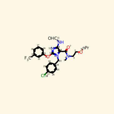 CCCOCCN(C)C(=O)c1c(NC=O)nc(Oc2cccc(C(F)(F)F)c2)n1Cc1ccc(Cl)cc1